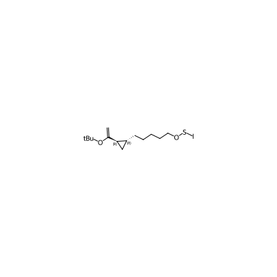 C=C(OC(C)(C)C)[C@@H]1C[C@H]1CCCCCOSI